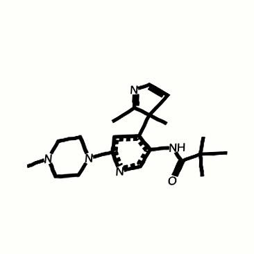 CC1=NC=CC1(C)c1cc(N2CCN(C)CC2)ncc1NC(=O)C(C)(C)C